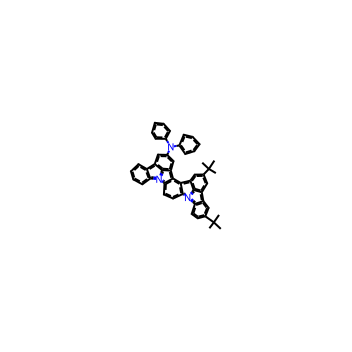 CC(C)(C)c1ccc2c(c1)c1cc(C(C)(C)C)cc3c4c5c6cc(N(c7ccccc7)c7ccccc7)cc7c8ccccc8n(c5ccc4n2c13)c76